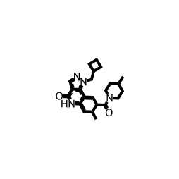 CC1CCN(C(=O)C2C=c3c([nH]c(=O)c4cnn(CC5CCC5)c34)=CC2C)CC1